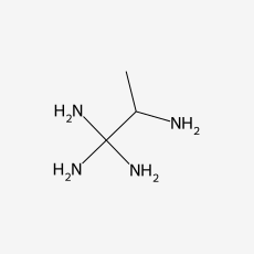 CC(N)C(N)(N)N